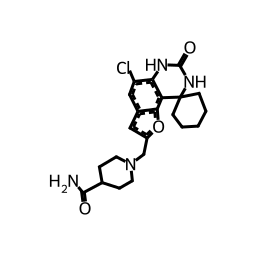 NC(=O)C1CCN(Cc2cc3cc(Cl)c4c(c3o2)C2(CCCCC2)NC(=O)N4)CC1